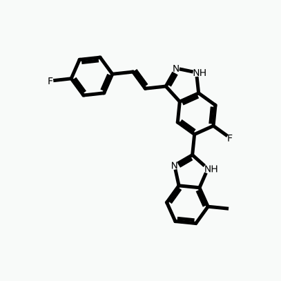 Cc1cccc2nc(-c3cc4c(/C=C/c5ccc(F)cc5)n[nH]c4cc3F)[nH]c12